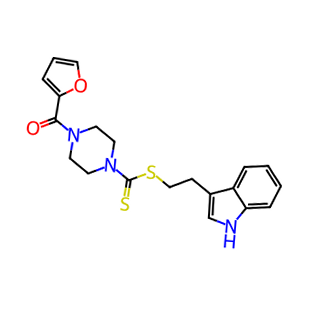 O=C(c1ccco1)N1CCN(C(=S)SCCc2c[nH]c3ccccc23)CC1